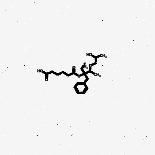 CCC(Cc1ccccc1)(OC(=O)CCCCC(=O)O)C(C)OCC(C)O